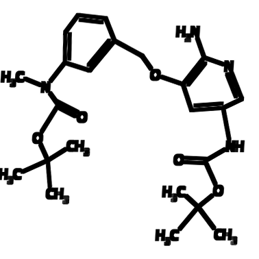 CN(C(=O)OC(C)(C)C)c1cccc(COc2cc(NC(=O)OC(C)(C)C)cnc2N)c1